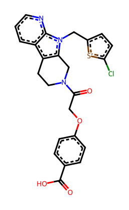 O=C(O)c1ccc(OCC(=O)N2CCc3c(n(Cc4ccc(Cl)s4)c4ncccc34)C2)cc1